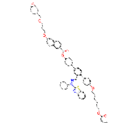 C=CC(=O)OCCCCCCOc1ccc(-c2ccc(C3CCC(OC(=O)c4ccc5cc(OCCCOCC6CCC7OC7C6)ccc5c4)CC3)cc2/C=N/N(c2nc3ccccc3s2)C2CCCCC2)cc1